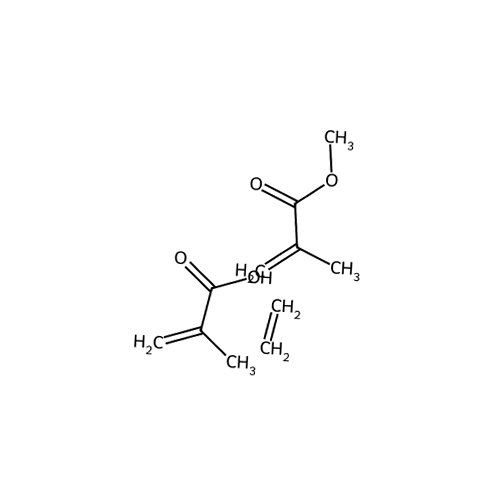 C=C.C=C(C)C(=O)O.C=C(C)C(=O)OC